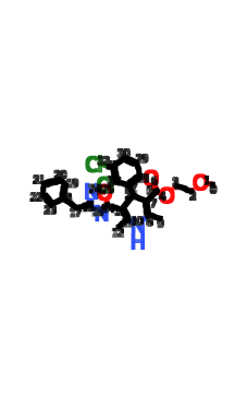 COCCOC(=O)C1=C(C)NC(C)=C(c2nc(Cc3ccccc3)no2)C1c1cccc(Cl)c1Cl